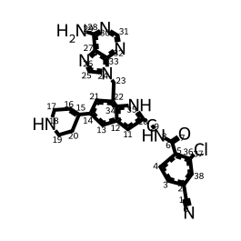 N#Cc1ccc(C(=O)NCc2cc3cc(C4=CCNCC4)cc(Cn4cnc5c(N)ncnc54)c3[nH]2)c(Cl)c1